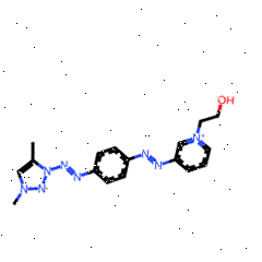 CC1=CN(C)[N]N1N=Nc1ccc(N=Nc2ccc[n+](CCO)c2)cc1